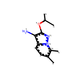 Cc1ccc2c(N)c(OC(C)C)nn2c1C